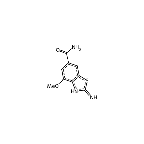 COc1cc(C(N)=O)cc2sc(=N)[nH]c12